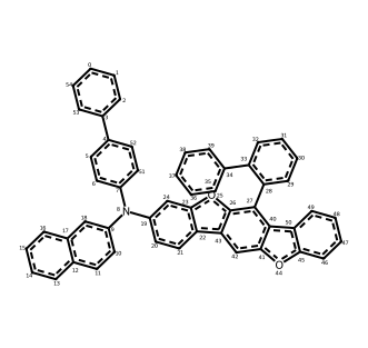 c1ccc(-c2ccc(N(c3ccc4ccccc4c3)c3ccc4c(c3)oc3c(-c5ccccc5-c5ccccc5)c5c(cc34)oc3ccccc35)cc2)cc1